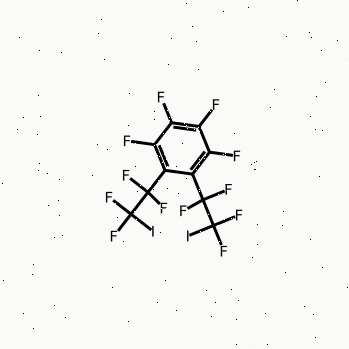 Fc1c(F)c(F)c(C(F)(F)C(F)(F)I)c(C(F)(F)C(F)(F)I)c1F